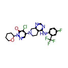 O=c1c(Cl)c(N2CCc3c(ncnc3Nc3ccc(F)cc3C(F)(F)F)C2)cnn1C1CCCCO1